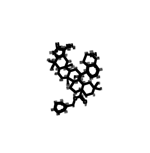 CC1(C)CC[C@]2(C(=O)OCc3ccccc3)CC[C@]3(C)C(=C(c4cccc5c4CCNC5)CC4[C@@]5(C)Cc6c(n[nH]c6N)C(C)(C)C5CC[C@]43C)C2C1